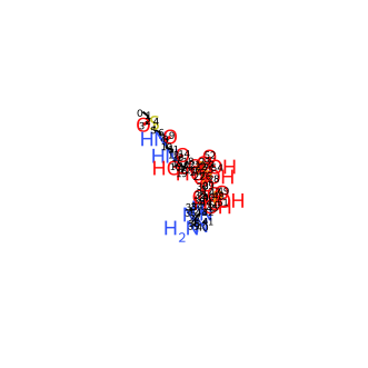 CCC(=O)SCCNC(=O)CCNC(=O)C(O)C(C)(C)COP(=O)(O)OP(=O)(O)OC[C@H]1O[C@@H](n2cnc3c(N)ncnc32)[C@H](O)[C@@H]1OP(=O)(O)O.O=CO